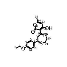 CCOc1ccc(C2CC(c3c(O)cc(C)oc3=O)=NCCS2)cc1